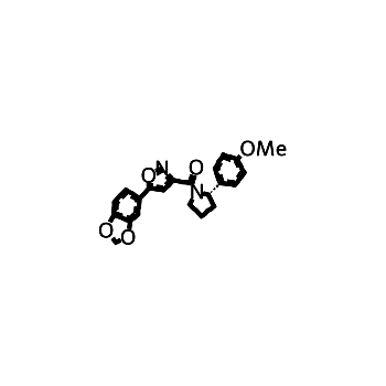 COc1ccc([C@@H]2CCCN2C(=O)c2cc(-c3ccc4c(c3)OCO4)on2)cc1